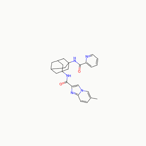 Cc1ccc2nc(C(=O)NC34CC5CC(CC(NC(=O)c6ccccn6)(C5)C3)C4)cn2c1